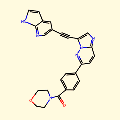 O=C(c1ccc(-c2ccc3ncc(C#Cc4cnc5[nH]ccc5c4)n3n2)cc1)N1CCOCC1